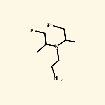 CC(C)CC(C)N(CCN)C(C)CC(C)C